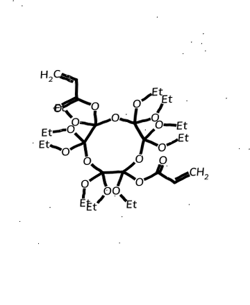 C=CC(=O)OC1(OCC)OC(OCC)(OCC)C(OCC)(OCC)OC(OCC)(OC(=O)C=C)C(OCC)(OCC)OC1(OCC)OCC